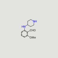 COc1cccc(NC2CCNCC2)c1C=O